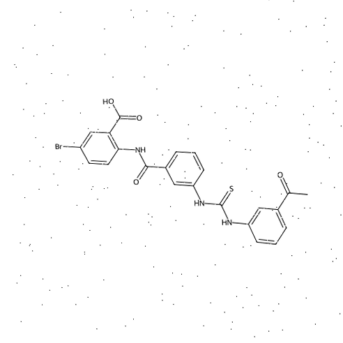 CC(=O)c1cccc(NC(=S)Nc2cccc(C(=O)Nc3ccc(Br)cc3C(=O)O)c2)c1